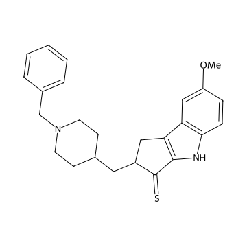 COc1ccc2[nH]c3c(c2c1)CC(CC1CCN(Cc2ccccc2)CC1)C3=S